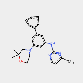 CC1(C)CN(c2cc(Nc3nccc(C(F)(F)F)n3)cc(-c3ccccc3)c2)CCO1